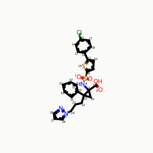 O=C(O)C1(NS(=O)(=O)c2ccc(-c3ccc(Cl)cc3)s2)CC1(CCCn1cccn1)c1ccccc1